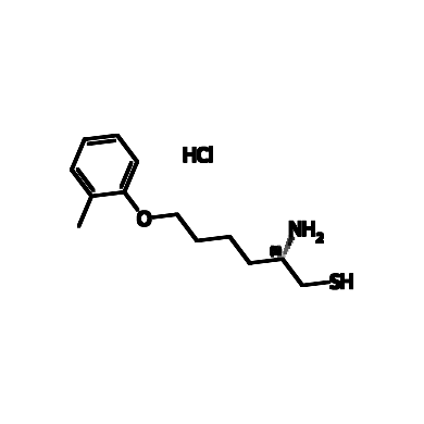 Cc1ccccc1OCCCC[C@H](N)CS.Cl